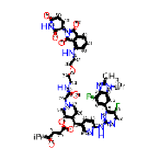 Cc1nc2c(F)cc(-c3nc(Nc4ccc([C@H](OC(=O)CCC(=O)C(C)C)C5CCN(CC(=O)NCCOCCNc6cccc7c6C(=O)N(C6CCC(=O)NC6=O)C7=O)CC5)cn4)ncc3F)cc2n1C(C)C